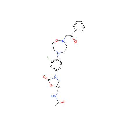 CC(=O)NC[C@H]1CN(c2ccc(N3CCON(CC(=O)c4ccccc4)CC3)c(F)c2)C(=O)O1